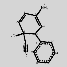 N#CC1(F)C=CC(N)=CC1c1ccccc1